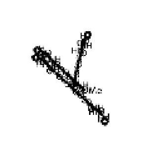 COC(=O)CCNc1nc(N(CCOCCOCCOCCOCCC(=O)NCCNC(=O)OC[C@@H]2[C@@H]3CCC#CCC[C@@H]32)CCOCCOCCOCCOCCC(=O)NCCNC(=O)OC[C@@H]2[C@@H]3CCC#CCC[C@@H]32)nc(N(CCOCCOCCOCCOCCC(=O)NCCNC(=O)OC[C@@H]2[C@@H]3CCC#CCC[C@@H]32)CCOCCOCCOCCOCCC(=O)NCCNC(=O)OC[C@@H]2[C@@H]3CCC#CCC[C@@H]32)n1